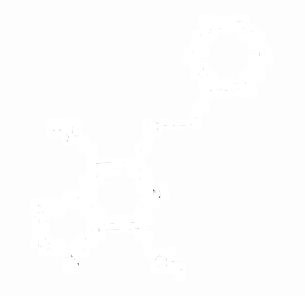 [CH2]c1c(OCc2ccccc2)nc(C)c2ncsc12